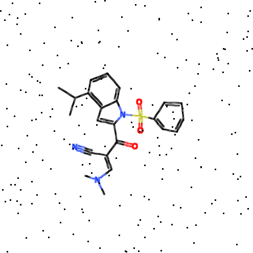 CC(C)c1cccc2c1cc(C(=O)C(C#N)=CN(C)C)n2S(=O)(=O)c1ccccc1